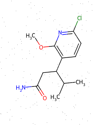 COc1nc(Cl)ccc1C(CC(N)=O)C(C)C